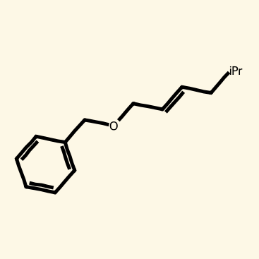 CC(C)C/C=C/COCc1ccccc1